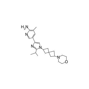 Cc1cc(-c2cn(C3CC4(CC(N5CCOCC5)C4)C3)c(C(C)C)n2)cnc1N